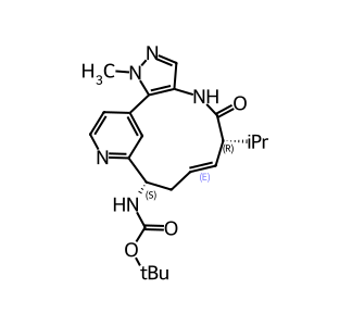 CC(C)[C@@H]1/C=C/C[C@H](NC(=O)OC(C)(C)C)c2cc(ccn2)-c2c(cnn2C)NC1=O